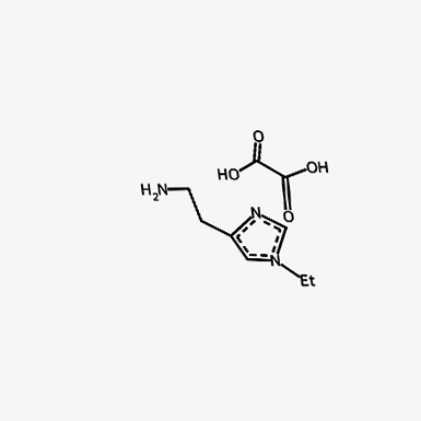 CCn1cnc(CCN)c1.O=C(O)C(=O)O